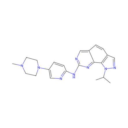 CC(C)n1ncc2ccc3cnc(Nc4ccc(N5CCN(C)CC5)cn4)nc3c21